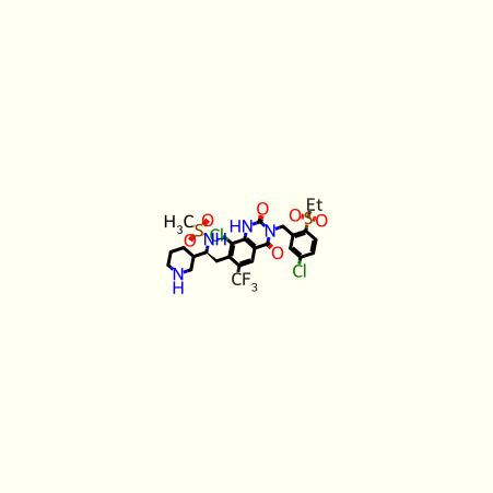 CCS(=O)(=O)c1ccc(Cl)cc1Cn1c(=O)[nH]c2c(Cl)c(C[C@H](NS(C)(=O)=O)C3CCCNC3)c(C(F)(F)F)cc2c1=O